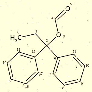 CCC(O[C]=O)(c1ccccc1)c1ccccc1